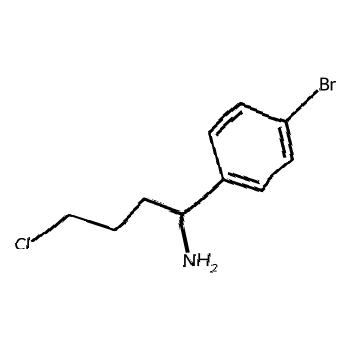 NC(CCCCl)c1ccc(Br)cc1